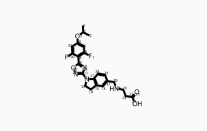 CC(C)Oc1cc(F)c(-c2nc(N3CCc4cc(CNCCC(=O)O)ccc43)no2)c(F)c1